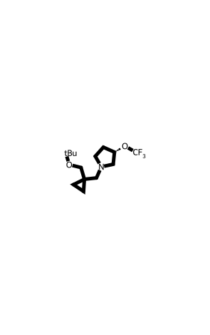 CC(C)(C)OCC1(CN2CC[C@H](OC(F)(F)F)C2)CC1